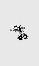 CC1(C)OCCn2c1nc(C(=O)NCc1cccc(F)c1N1CCCCS1(=O)=O)c(O)c2=O